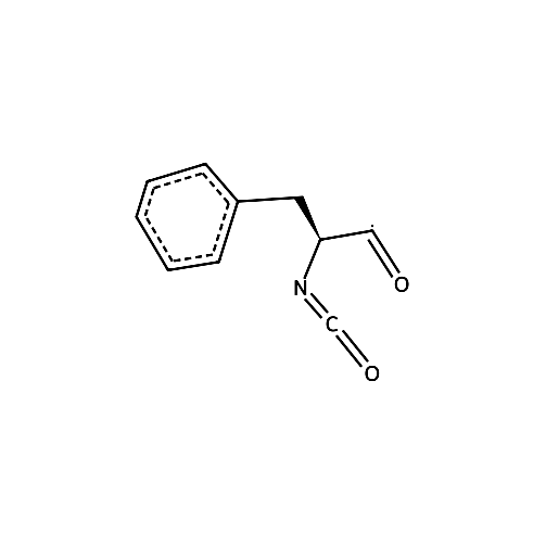 O=[C][C@H](Cc1ccccc1)N=C=O